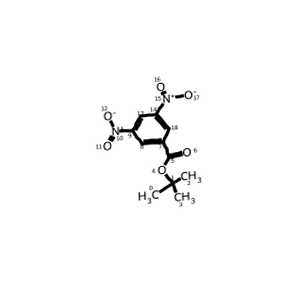 CC(C)(C)OC(=O)c1cc([N+](=O)[O-])cc([N+](=O)[O-])c1